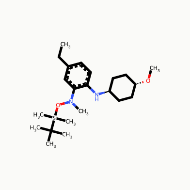 CCc1ccc(N[C@H]2CC[C@H](OC)CC2)c(N(C)O[Si](C)(C)C(C)(C)C)c1